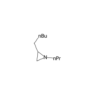 CCCCCC1CN1CCC